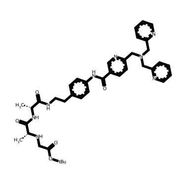 C[C@@H](NCC(=O)OC(C)(C)C)C(=O)N[C@H](C)C(=O)NCCc1ccc(NC(=O)c2ccc(CN(Cc3ccccn3)Cc3ccccn3)nc2)cc1